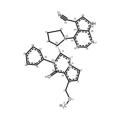 COCc1ccn2nc([C@@H]3CCCN3c3ncnc4[nH]cc(C#N)c34)n(-c3ccccc3)c(=O)c12